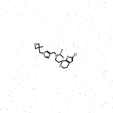 C[C@H]1C[C@@]2(CCN1Cc1cnn(CC3(C)COC3)c1)OCCc1cc(Cl)sc12